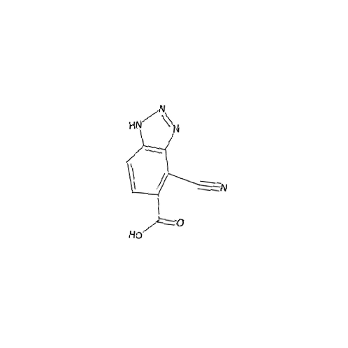 N#Cc1c(C(=O)O)ccc2[nH]nnc12